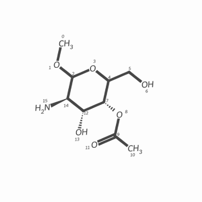 COC1OC(CO)[C@H](OC(C)=O)[C@H](O)[C@H]1N